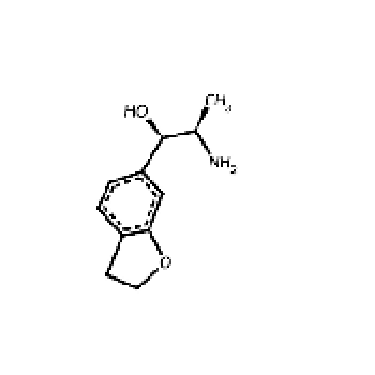 C[C@@H](N)[C@H](O)c1ccc2c(c1)OCC2